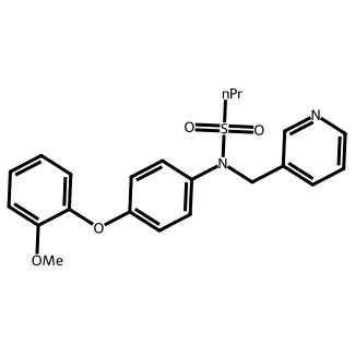 CCCS(=O)(=O)N(Cc1cccnc1)c1ccc(Oc2ccccc2OC)cc1